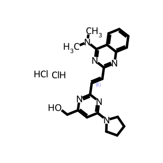 CN(C)c1nc(/C=C/c2nc(CO)cc(N3CCCC3)n2)nc2ccccc12.Cl.Cl